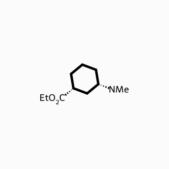 CCOC(=O)[C@@H]1CCC[C@H](NC)C1